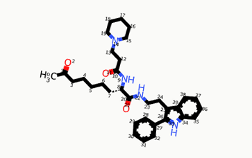 CC(=O)CCCCC[C@H](NC(=O)CCN1CCCCC1)C(=O)NCCc1c(-c2ccccc2)[nH]c2ccccc12